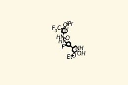 CCOC1=CC(c2ccc(NC(=O)Nc3cnc(OC(C)C)c(C(F)(F)F)c3)c(F)c2)=CNC1O